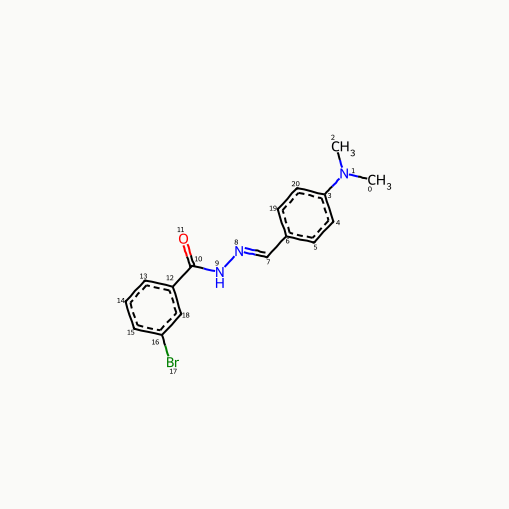 CN(C)c1ccc(/C=N/NC(=O)c2cccc(Br)c2)cc1